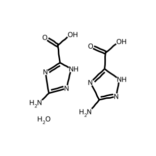 Nc1n[nH]c(C(=O)O)n1.Nc1n[nH]c(C(=O)O)n1.O